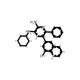 Nc1nc(-c2ccccc2)c(-c2cc(Cl)c3ncccc3c2)nc1NC1CCCCC1